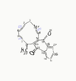 C=C1/C=C\C=C/C/N=C\C2=C1C(=O)c1ccccc1C2=O